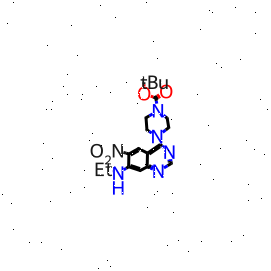 CCNc1cc2ncnc(N3CCN(C(=O)OC(C)(C)C)CC3)c2cc1[N+](=O)[O-]